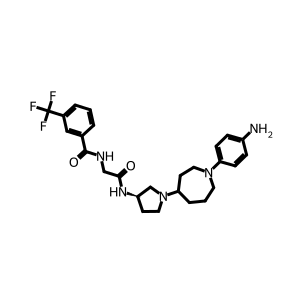 Nc1ccc(N2CCCC(N3CC[C@@H](NC(=O)CNC(=O)c4cccc(C(F)(F)F)c4)C3)CC2)cc1